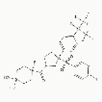 O=C(N1CCC(c2ccc(C(F)(C(F)(F)F)C(F)(F)F)cc2)(S(=O)(=O)c2ccc(F)cc2)C1)C1(F)CCS(O)(O)CC1